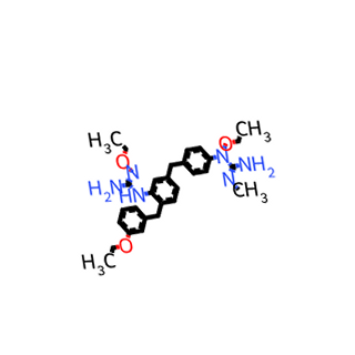 CCON=C(N)Nc1cc(Cc2ccc(N(OCC)C(N)=NC)cc2)ccc1Cc1cccc(OCC)c1